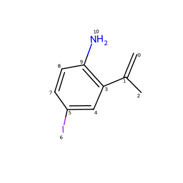 C=C(C)c1cc(I)ccc1N